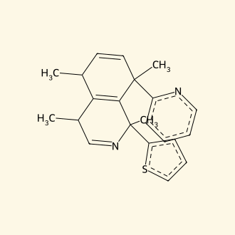 CC1C=CC(C)(c2ccccn2)C2=C1C(C)C=NC2(C)c1cccs1